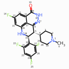 CN1CCC([C@H]2c3n[nH]c(=O)c4cc(F)cc(c34)N[C@@H]2c2c(F)cc(F)cc2F)CC1